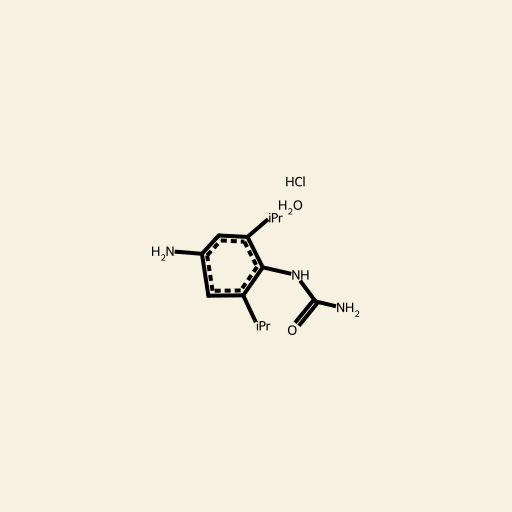 CC(C)c1cc(N)cc(C(C)C)c1NC(N)=O.Cl.O